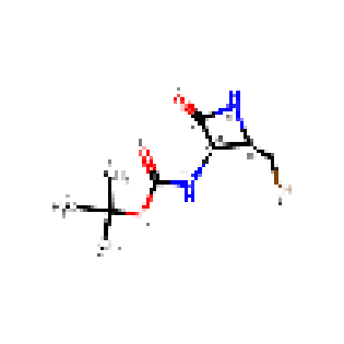 CC(C)(C)OC(=O)N[C@H]1C(=O)N[C@H]1CS